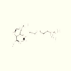 CSC1=NC=[N+](CCOCCN(C)C)C2C1N=CN2C